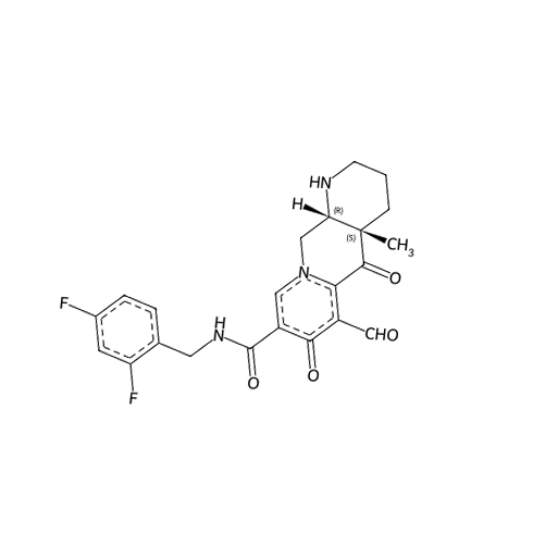 C[C@]12CCCN[C@H]1Cn1cc(C(=O)NCc3ccc(F)cc3F)c(=O)c(C=O)c1C2=O